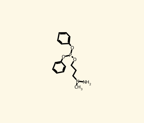 CN(N)CCCOP(Oc1ccccc1)Oc1ccccc1